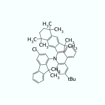 CC(C)(C)c1ccc(N(C2=CC(C)(C)c3cc4c(cc32)C(C)(C)CCC4(C)C)c2cc(Cl)cc3c2C(C)(C)c2ccccc2-3)c(-c2ccccc2)c1